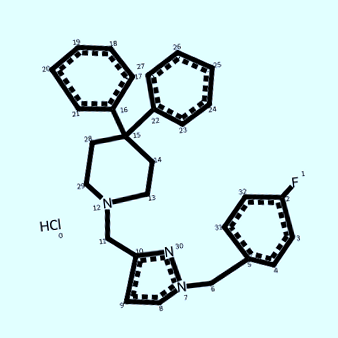 Cl.Fc1ccc(Cn2ccc(CN3CCC(c4ccccc4)(c4ccccc4)CC3)n2)cc1